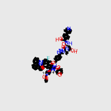 Cc1cnccc1-c1ccc([C@H](CO)NC(=O)[C@@H]2C[C@@H](O)CN2C(=O)[C@H](C(C)C)n2cc(-c3ccc(COc4c(-c5c(C)c(F)cc6nn(C(c7ccccc7)(c7ccccc7)c7ccccc7)cc56)c(C5CC5)cc5c(N6C[C@@H]7C[C@H]6CN7C(=O)OC(C)(C)C)nc(OC6CCOCC6)nc45)cc3)nn2)cc1